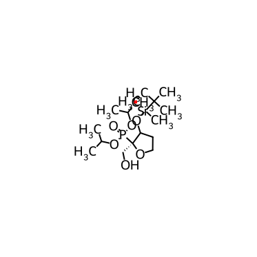 CC(C)OP(=O)(OC(C)C)[C@]1(CO)OCCC1O[Si](C)(C)C(C)(C)C